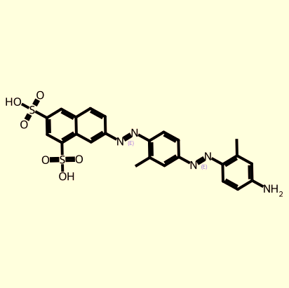 Cc1cc(N)ccc1/N=N/c1ccc(/N=N/c2ccc3cc(S(=O)(=O)O)cc(S(=O)(=O)O)c3c2)c(C)c1